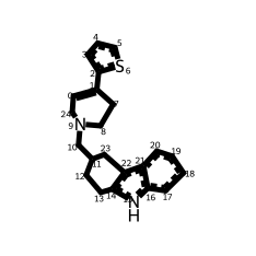 C1=C(c2cccs2)CCN(CC2CCc3[nH]c4ccccc4c3C2)C1